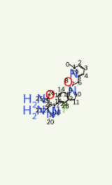 Cc1cccc(CC(=O)N2CCc3c2ccc(-c2nn(C)c(N)c2C(N)=O)c3F)n1